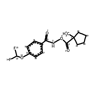 CC1(C(=O)ONC(=O)c2ccc(OC(F)F)cc2)CCCC1